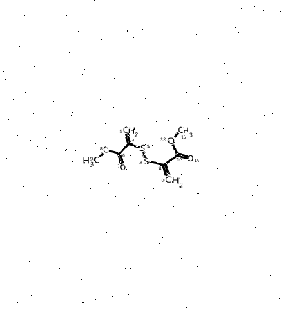 C=C(SSC(=C)C(=O)OC)C(=O)OC